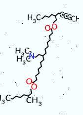 C=C=C=C=CC(CCCCC)CCOC(=O)CCCCCCCC(CCCCCCCC(=O)OCCC(C)CCCCC)CCN(C)CC